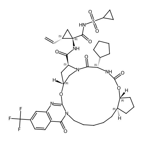 C=C[C@@H]1C[C@]1(NC(=O)[C@@H]1C[C@@H]2CN1C(=O)[C@H](C1CCCC1)NC(=O)O[C@@H]1CCC[C@H]1CCCCCn1c(nc3cc(C(F)(F)F)ccc3c1=O)O2)C(=O)NS(=O)(=O)C1CC1